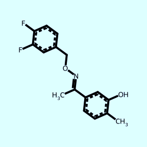 C/C(=N\OCc1ccc(F)c(F)c1)c1ccc(C)c(O)c1